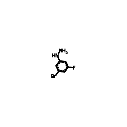 NNc1cc(F)cc(Br)c1